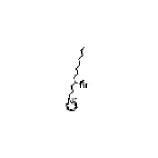 C=CC(CCCCCCCC)CCC[n+]1ccccc1.[Br-]